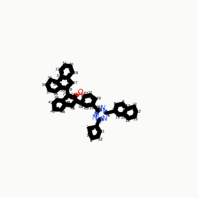 c1ccc(-c2nc(-c3ccc4ccccc4c3)nc(-c3ccc4oc5c(-c6cc7ccccc7c7ccccc67)c6ccccc6cc5c4c3)n2)cc1